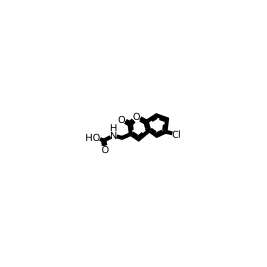 O=C(O)NCc1cc2cc(Cl)ccc2oc1=O